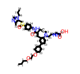 CCCCOCCOc1ccc(-c2ccc3c(c2)/C=C(/C(=O)Nc2ccc([S+]([O-])Cc4c(C)ncn4CCC)cc2)CCCN3CCNCC(=O)O)cc1